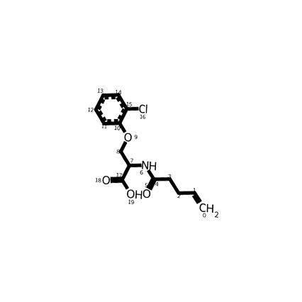 C=CCCC(=O)NC(COc1ccccc1Cl)C(=O)O